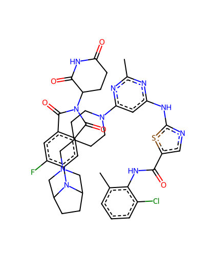 Cc1nc(Nc2ncc(C(=O)Nc3c(C)cccc3Cl)s2)cc(N2CCC(CN3CC4CCC(C3)N4c3cc4c(cc3F)C(=O)N(C3CCC(=O)NC3=O)C4=O)CC2)n1